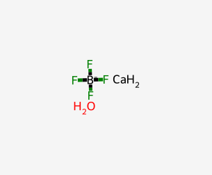 F[B-](F)(F)F.O.[CaH2]